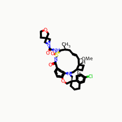 CO[C@H]1/C=C/C[C@H](C)CS(=O)(NC(=O)N2CC3(CCOC3)C2)=NC(=O)c2ccc3c(c2)N(C[C@@H]2CC[C@H]21)C[C@@]1(CCCc2cc(Cl)ccc21)CO3